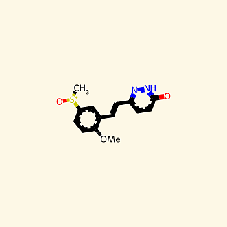 COc1ccc([S+](C)[O-])cc1C=Cc1ccc(=O)[nH]n1